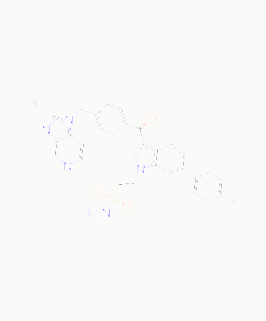 Cc1nc2cnccc2n1Cc1ccc(C(=O)c2cn(CCS(N)(=O)=O)c3cc(-c4ccc(F)cc4)ccc23)cc1